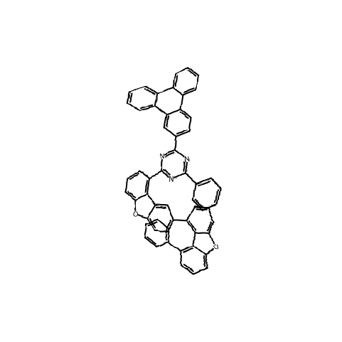 c1ccc(-c2nc(-c3ccc4c5ccccc5c5ccccc5c4c3)nc(-c3cccc4oc5ccc(-c6cccc7oc8cccc(-c9ccccc9)c8c67)cc5c34)n2)cc1